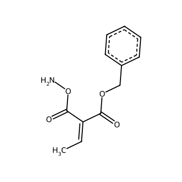 CC=C(C(=O)ON)C(=O)OCc1ccccc1